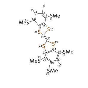 CSc1c(C)c(C)c(SC)c2c1SC(=C1Sc3c(SC)c(C)c(SC)c(SC)c3S1)S2